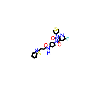 O=C(CCc1nc2ccccc2s1)NC1CCC(n2c(=O)c3cc(F)cnc3n(C3CCSCC3)c2=O)CC1